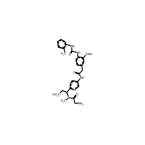 COc1cc(CC(=O)Nc2ccc(C(CC(=O)O)N(C)C(=O)CN)nc2)ccc1NC(=O)Nc1ccccc1C